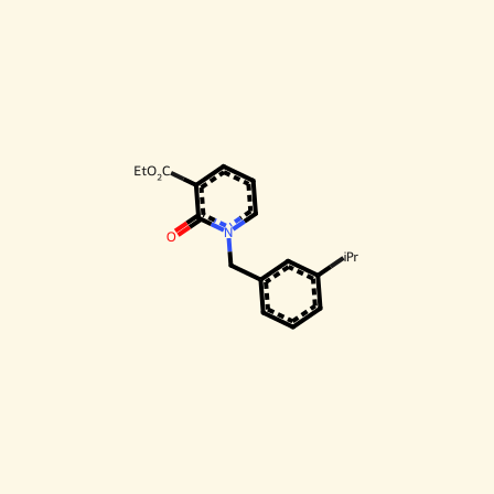 CCOC(=O)c1cccn(Cc2cccc(C(C)C)c2)c1=O